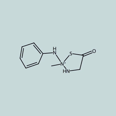 C[N+]1(Nc2ccccc2)NCC(=O)S1